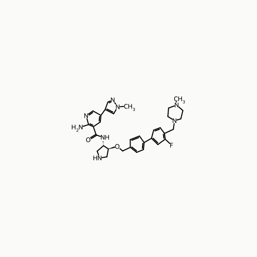 CN1CCN(Cc2ccc(-c3ccc(CO[C@H]4CNC[C@@H]4NC(=O)c4cc(-c5cnn(C)c5)cnc4N)cc3)cc2F)CC1